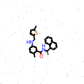 Cc1ccc(CNc2ccc(C)c(C(=O)N[C@H](C)c3cccc4ccccc34)c2)s1